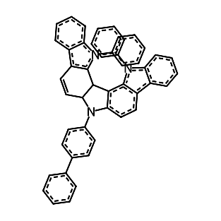 C1=CC2C(c3c(ccc4c5ccccc5n(-c5ccccc5)c34)N2c2ccc(-c3ccccc3)cc2)c2c1c1ccccc1n2-c1ccccc1